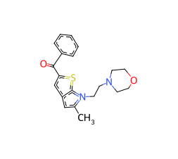 Cc1cc2cc(C(=O)c3ccccc3)sc2n1CCN1CCOCC1